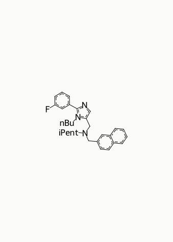 CCCCn1c(CN(Cc2ccc3ccccc3c2)C(C)CCC)cnc1-c1cccc(F)c1